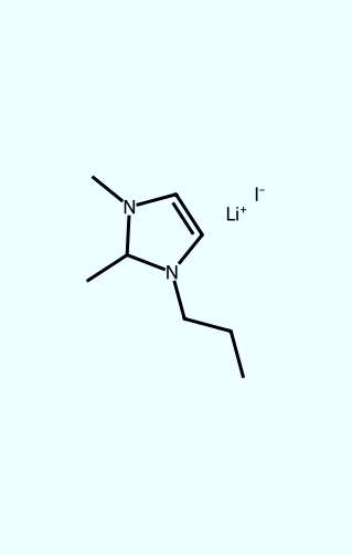 CCCN1C=CN(C)C1C.[I-].[Li+]